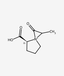 CC1C(=O)[N+]12CCC[C@H]2C(=O)O